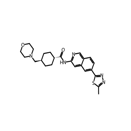 Cc1nnc(-c2ccc3cnc(NC(=O)[C@H]4CC[C@H](CN5CCOCC5)CC4)cc3c2)s1